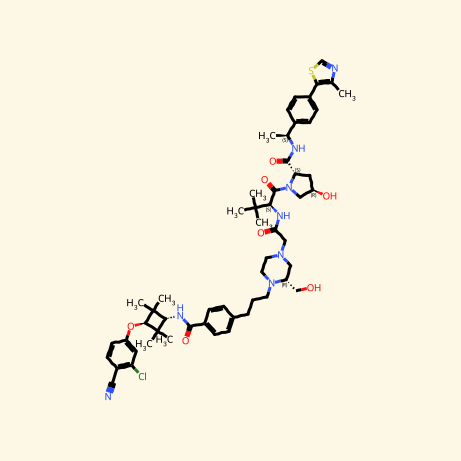 Cc1ncsc1-c1ccc([C@H](C)NC(=O)[C@@H]2C[C@@H](O)CN2C(=O)[C@@H](NC(=O)CN2CCN(CCCc3ccc(C(=O)N[C@H]4C(C)(C)[C@H](Oc5ccc(C#N)c(Cl)c5)C4(C)C)cc3)[C@@H](CO)C2)C(C)(C)C)cc1